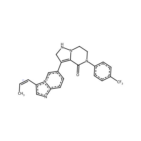 C/C=C\c1cnc2ccc(C3=C4C(=O)N(c5ccc(C(F)(F)F)cc5)CCN4NC3)cn12